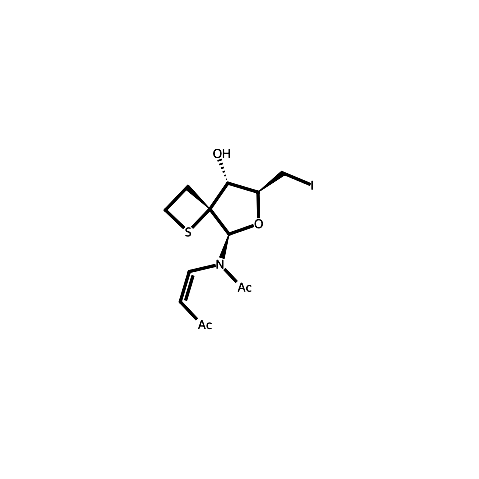 CC(=O)/C=C\N(C(C)=O)[C@@H]1O[C@H](CI)[C@@H](O)[C@]12CCS2